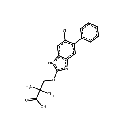 CC(C)(COc1nc2cc(-c3ccccc3)c(Cl)cc2[nH]1)C(=O)O